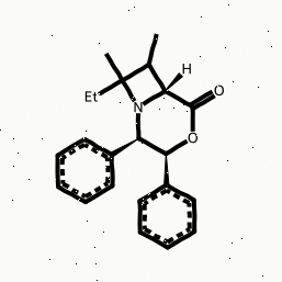 CCC1(C)C(C)[C@@H]2C(=O)O[C@@H](c3ccccc3)[C@@H](c3ccccc3)N21